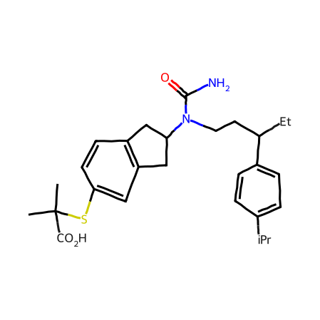 CCC(CCN(C(N)=O)C1Cc2ccc(SC(C)(C)C(=O)O)cc2C1)c1ccc(C(C)C)cc1